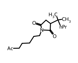 CCCC(C)(C)C1CC(=O)N(CCCCCC(C)=O)C1=O